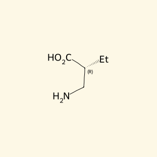 CC[C@H](CN)C(=O)O